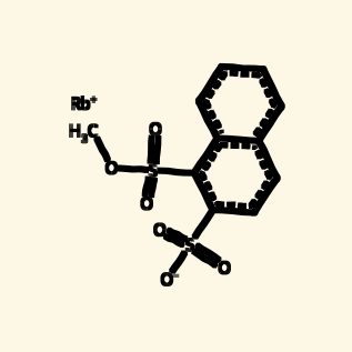 COS(=O)(=O)c1c(S(=O)(=O)[O-])ccc2ccccc12.[Rb+]